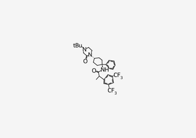 CC(C(=O)N[C@]1(c2ccccc2)CC[C@@H](N2CCN(C(C)(C)C)CC2=O)CC1)c1cc(C(F)(F)F)cc(C(F)(F)F)c1